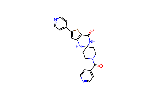 O=C1NC2(CCN(C(=O)c3ccncc3)CC2)Nc2cc(-c3ccncc3)sc21